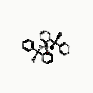 C#CC(OS(=O)(=O)OC(C#C)(c1ccccc1)c1ccccc1)(c1ccccc1)c1ccccc1